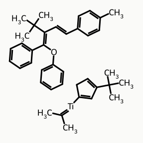 C[C](C)=[Ti][C]1=CC(C(C)(C)C)=CC1.Cc1ccc(C=CC(=C(Oc2ccccc2)c2ccccc2)C(C)(C)C)cc1